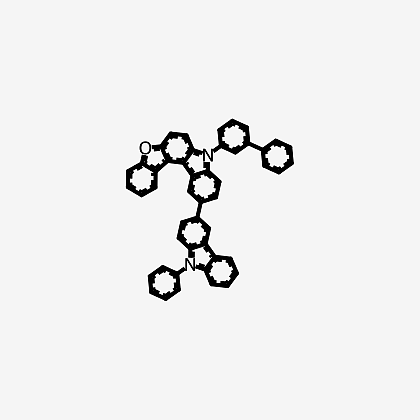 c1ccc(-c2cccc(-n3c4ccc(-c5ccc6c(c5)c5ccccc5n6-c5ccccc5)cc4c4c5c(ccc43)oc3ccccc35)c2)cc1